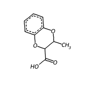 CC1Oc2ccccc2OC1C(=O)O